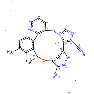 Cc1ccc2c(c1)[C@@H](C)Oc1cc(cnc1N)-c1c(C#N)ncn1Cc1cccnc1-2